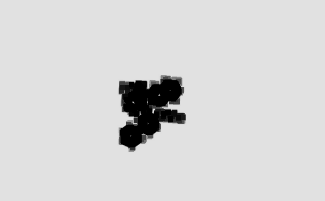 COc1ccc(-c2ccccc2)cc1Nc1ncnc2[nH]nc(-c3ccc4ccccc4c3)c12